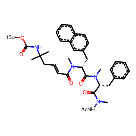 CC(=O)NN(C)C(=O)[C@@H](Cc1ccccc1)N(C)C(=O)[C@@H](Cc1ccc2ccccc2c1)N(C)C(=O)/C=C/CC(C)(C)NC(=O)OC(C)(C)C